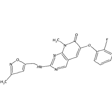 Cc1cc(CNc2ncc3cc(Oc4ccccc4F)c(=O)n(C)c3n2)on1